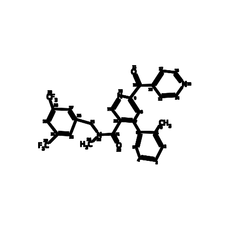 Cc1ccccc1-c1cc(C(=O)c2ccncc2)ncc1C(=O)N(C)Cc1cc(C(F)(F)F)cc(C(F)(F)F)c1